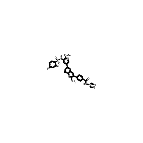 COc1ncc(-c2ccc3nc(N)c(-c4ccc(C(=O)Nn5cnnc5)cc4)cc3c2)cc1NS(=O)(=O)c1ccc(F)cc1F